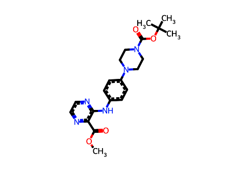 COC(=O)c1nccnc1Nc1ccc(N2CCN(C(=O)OC(C)(C)C)CC2)cc1